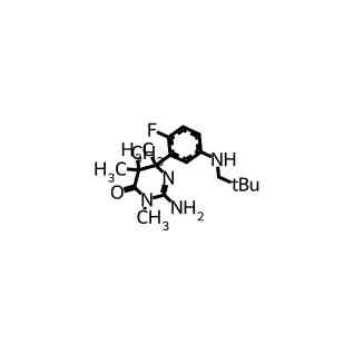 CN1C(=O)C(C)(C)C(C)(c2cc(NCC(C)(C)C)ccc2F)N=C1N